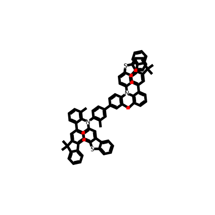 Cc1cc(-c2ccc(N(c3ccc4sc5ccccc5c4c3)c3c(C)cccc3-c3ccc4c(c3)C(C)(C)c3ccccc3-4)c(C)c2)ccc1N(c1ccc2sc3ccccc3c2c1)c1c(C)cccc1-c1ccc2c(c1)C(C)(C)c1ccccc1-2